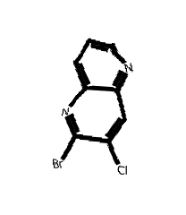 Clc1cc2ncccc2nc1Br